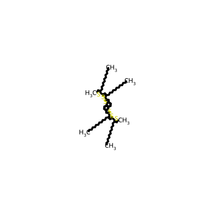 CCCCCCCCCCCCc1cc(C)sc1-c1cc(CCCCCCCCCCCC)c(-c2cc3ccc4c(ccc5cc(-c6sc(-c7sc(C)cc7CCCCCCCCCCCC)cc6CCCCCCCCCCCC)sc54)c3s2)s1